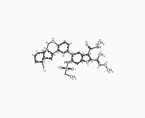 CCS(=O)(=O)Nc1cc2oc(/C(C)=N/OC)c(C(=O)NC)c2cc1-c1ccc2c(n1)-c1cc3c(F)cccc3n1CO2